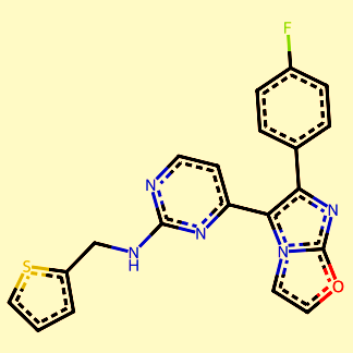 Fc1ccc(-c2nc3occn3c2-c2ccnc(NCc3cccs3)n2)cc1